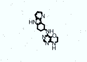 c1cnc2c3c([nH]c2c1)CCC(Nc1ncnc2c1OCCN2)C3